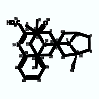 CC1(C)CC(N2C3CC[C@H]2C[C@@H](n2c(=O)c(C(=O)O)nc4ccccc42)C3)CC(C)(C)C1